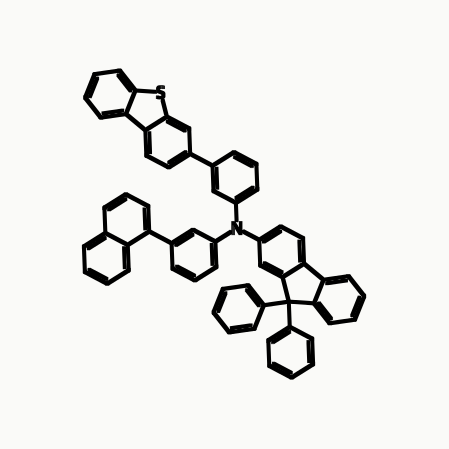 c1ccc(C2(c3ccccc3)c3ccccc3-c3ccc(N(c4cccc(-c5ccc6c(c5)sc5ccccc56)c4)c4cccc(-c5cccc6ccccc56)c4)cc32)cc1